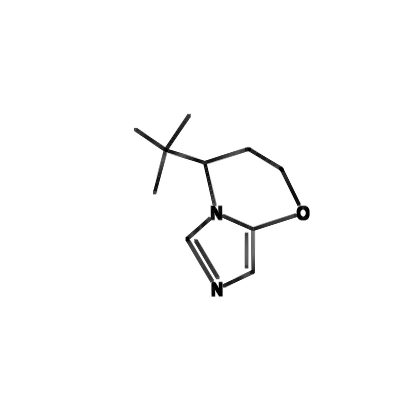 CC(C)(C)C1CCOc2cncn21